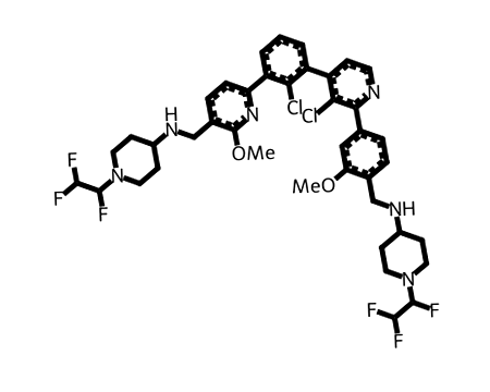 COc1cc(-c2nccc(-c3cccc(-c4ccc(CNC5CCN(C(F)C(F)F)CC5)c(OC)n4)c3Cl)c2Cl)ccc1CNC1CCN(C(F)C(F)F)CC1